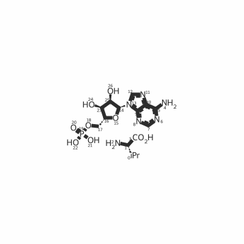 CC(C)[C@H](N)C(=O)O.Nc1ncnc2c1ncn2[C@@H]1O[C@H](COP(=O)(O)O)[C@@H](O)[C@H]1O